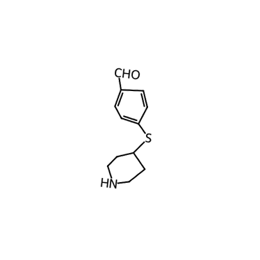 O=Cc1ccc(SC2CCNCC2)cc1